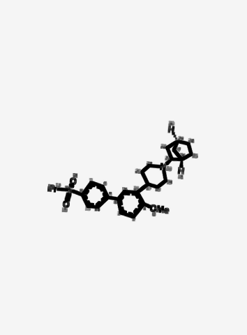 COc1ccc(-c2ccc(S(=O)(=O)C(C)C)cc2)cc1C1CCN([C@H]2C[C@H]3CC[C@H]2C3)CC1